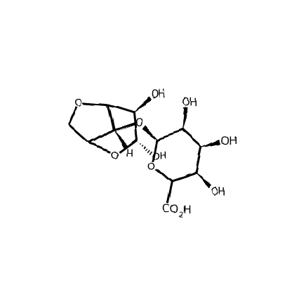 O=C(O)C1O[C@@H](O[C@@H]2C3COC2[C@@H](O)[C@H](O)O3)[C@@H](O)[C@@H](O)[C@H]1O